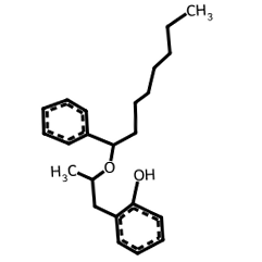 CCCCCCCC(OC(C)Cc1ccccc1O)c1ccccc1